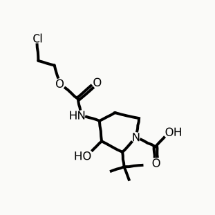 CC(C)(C)C1C(O)C(NC(=O)OCCCl)CCN1C(=O)O